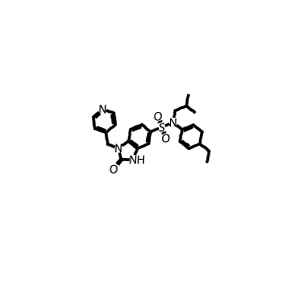 CCC1C=CC(N(CC(C)C)S(=O)(=O)c2ccc3c(c2)[nH]c(=O)n3Cc2ccncc2)=CC1